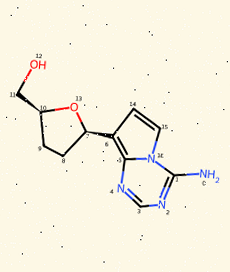 Nc1ncnc2c([C@H]3CC[C@@H](CO)O3)ccn12